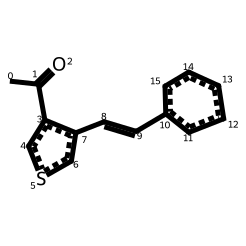 CC(=O)c1cscc1/C=C/c1ccccc1